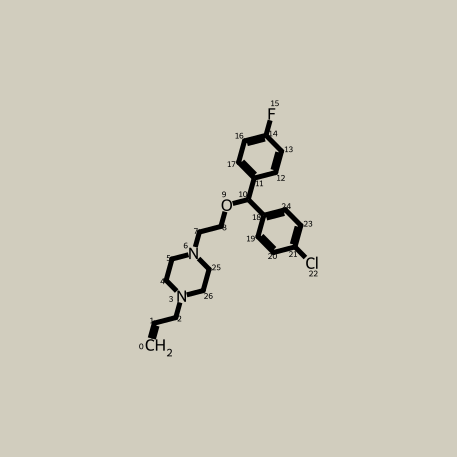 C=CCN1CCN(CCOC(c2ccc(F)cc2)c2ccc(Cl)cc2)CC1